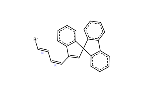 Br/C=C/C=C\C1=CC2(c3ccccc31)c1ccccc1-c1ccccc12